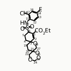 CCOC(=O)C1=CC2(CCC1S(=O)(=O)Nc1ccc(F)cc1Cl)CCC1(COCOO1)CO2